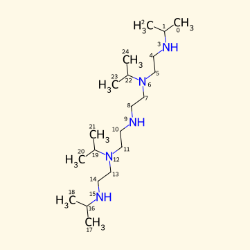 CC(C)NCCN(CCNCCN(CCNC(C)C)C(C)C)C(C)C